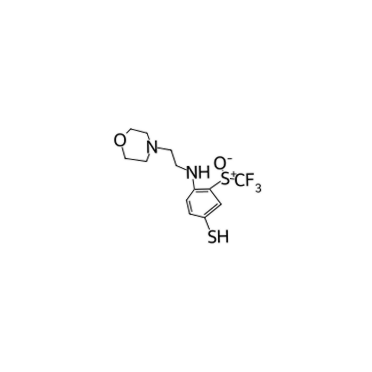 [O-][S+](c1cc(S)ccc1NCCN1CCOCC1)C(F)(F)F